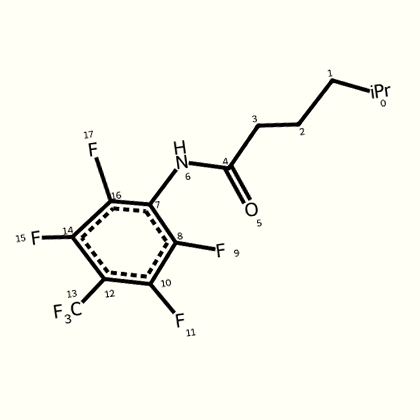 CC(C)CCCC(=O)Nc1c(F)c(F)c(C(F)(F)F)c(F)c1F